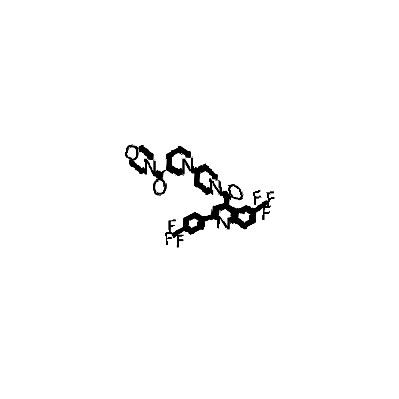 O=C(c1cc(-c2ccc(C(F)(F)F)cc2)nc2ccc(C(F)(F)F)cc12)N1CCC(N2CCC[C@@H](C(=O)N3CCOCC3)C2)CC1